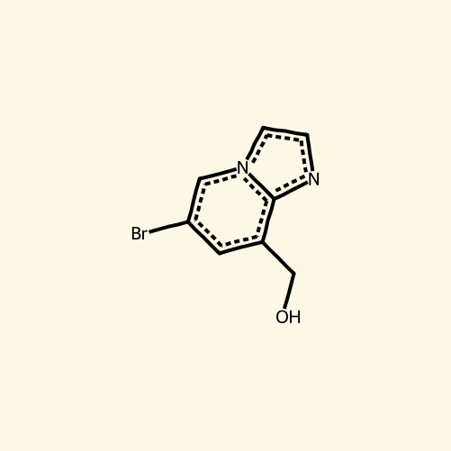 OCc1cc(Br)cn2ccnc12